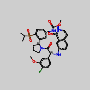 COC(=O)Nc1ccc(S(=O)(=O)C(C)C)c([C@H]2CCCN2C(=O)[C@H](Nc2ccc3cc[nH]c(=O)c3c2)c2ccc(F)c(OC)c2)c1